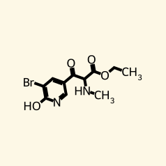 CCOC(=O)C(NC)C(=O)c1cnc(O)c(Br)c1